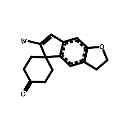 O=C1CCC2(CC1)C(Br)=Cc1cc3c(cc12)CCO3